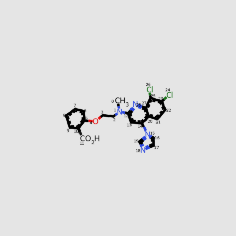 CN(CCOc1ccccc1C(=O)O)c1cc(-n2ccnc2)c2ccc(Cl)c(Cl)c2n1